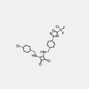 O=c1c(NCc2ccc(Cl)cc2)c(NCc2ccc(-c3noc(C(F)(F)Cl)n3)cc2)c1=O